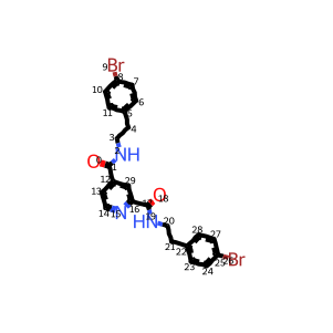 O=C(NCCc1ccc(Br)cc1)c1ccnc(C(=O)NCCc2ccc(Br)cc2)c1